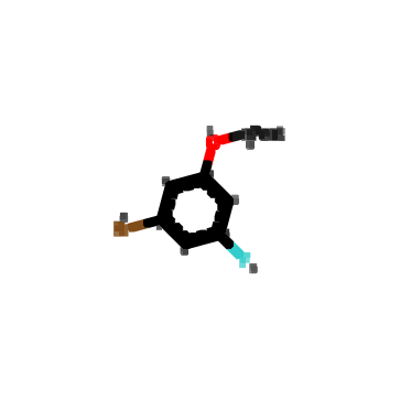 CCCCCOc1cc(F)cc(Br)c1